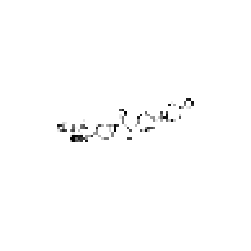 CC(C)(C)S(=O)(=O)NC1CCN(C(=O)Nc2ccc(N3CCC(=O)CC3)cc2)CC1